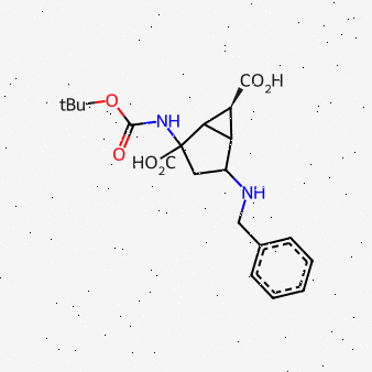 CC(C)(C)OC(=O)NC1(C(=O)O)CC(NCc2ccccc2)C2C1[C@H]2C(=O)O